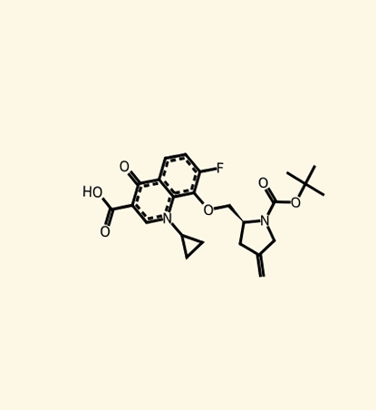 C=C1C[C@@H](COc2c(F)ccc3c(=O)c(C(=O)O)cn(C4CC4)c23)N(C(=O)OC(C)(C)C)C1